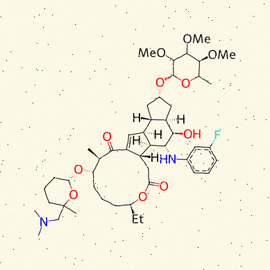 CC[C@H]1CCC[C@H](O[C@H]2CCCC(C)(CN(C)C)O2)[C@@H](C)C(=O)C2=C[C@H]3[C@@H]4C[C@H](O[C@@H]5OC(C)[C@H](OC)C(OC)C5OC)C[C@H]4[C@@H](O)[C@H](Nc4cccc(F)c4)[C@H]3[C@@H]2CC(=O)O1